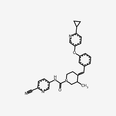 CC1CN(C(=O)Nc2ccc(C#N)nc2)CC/C1=C\c1cccc(Oc2ccc(C3CC3)nc2)c1